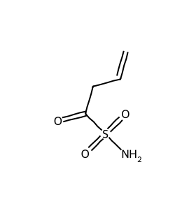 C=CCC(=O)S(N)(=O)=O